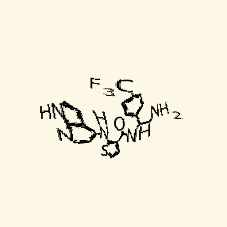 NCC(NC(=O)c1ccsc1Nc1ccnc2[nH]ccc12)c1ccc(C(F)(F)F)cc1